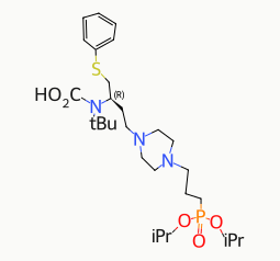 CC(C)OP(=O)(CCCN1CCN(CC[C@H](CSc2ccccc2)N(C(=O)O)C(C)(C)C)CC1)OC(C)C